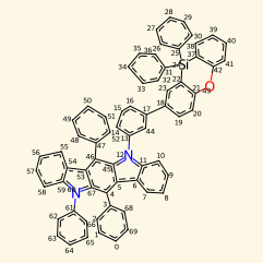 c1ccc(-c2c3c4ccccc4n(-c4cccc(-c5ccc6c(c5)[Si](c5ccccc5)(c5ccccc5)c5ccccc5O6)c4)c3c(-c3ccccc3)c3c4ccccc4n(-c4ccccc4)c23)cc1